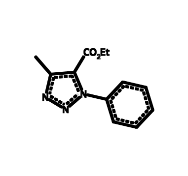 CCOC(=O)c1c(C)nnn1-c1ccccc1